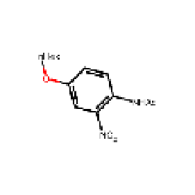 CCCCCCOc1ccc(NC(C)=O)c([N+](=O)[O-])c1